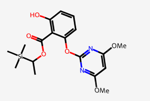 COc1cc(OC)nc(Oc2cccc(O)c2C(=O)OC(C)[Si](C)(C)C)n1